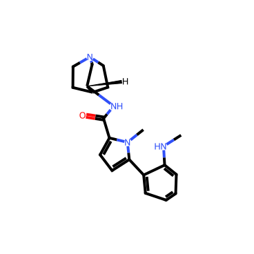 CNc1ccccc1-c1ccc(C(=O)N[C@H]2CN3CCC2CC3)n1C